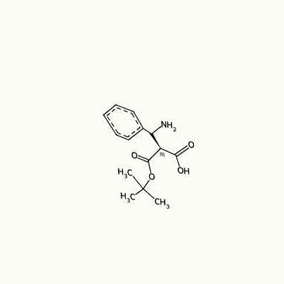 CC(C)(C)OC(=O)[C@H](C(=O)O)C(N)c1ccccc1